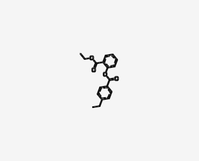 CCOC(=O)c1ccccc1OC(=O)c1ccc(CC)cc1